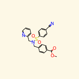 COC(=O)c1ccc(CN(Cc2ccccn2)S(=O)(=O)c2ccc(C#N)cc2)cc1